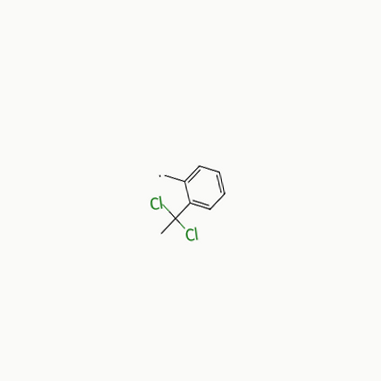 [CH2]c1ccccc1C(C)(Cl)Cl